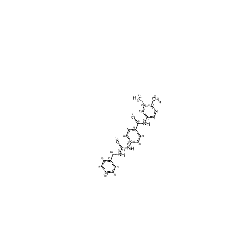 Cc1ccc(NC(=O)c2ccc(NC(=O)NCc3ccncc3)cc2)cc1C